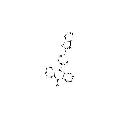 O=c1c2ccccc2n(-c2ccc(-c3nc4ccccc4o3)cc2)c2ccccc12